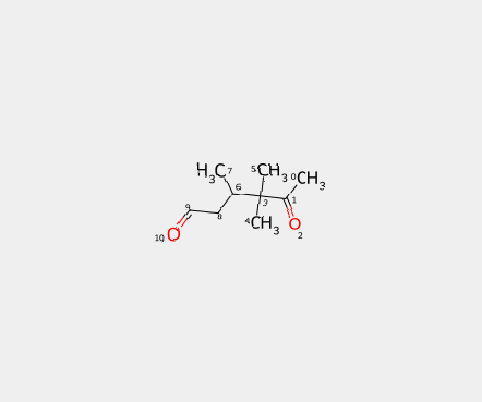 CC(=O)C(C)(C)C(C)CC=O